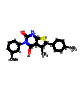 COc1cccc(-n2c(=O)[nH]c3sc(-c4ccc([N+](=O)[O-])cc4)c(C)c3c2=O)c1